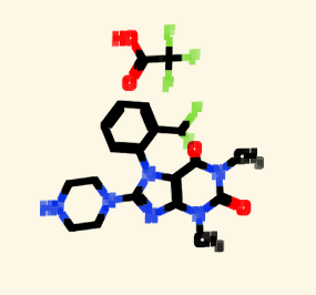 Cn1c(=O)c2c(nc(N3CCNCC3)n2-c2ccccc2C(F)F)n(C)c1=O.O=C(O)C(F)(F)F